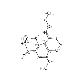 CCON=C1CCOc2c(SC)cc(C(=O)O)c(SC)c21